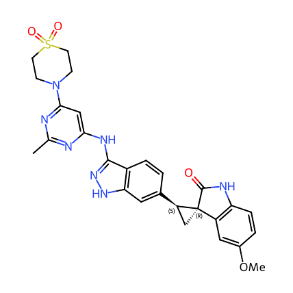 COc1ccc2c(c1)[C@]1(C[C@H]1c1ccc3c(Nc4cc(N5CCS(=O)(=O)CC5)nc(C)n4)n[nH]c3c1)C(=O)N2